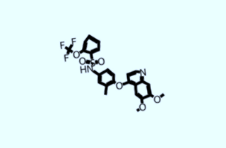 COc1cc2nccc(Oc3ccc(NS(=O)(=O)c4ccccc4OC(F)(F)F)cc3C)c2cc1OC